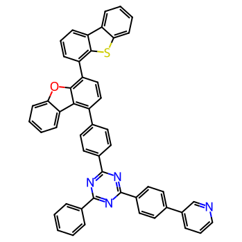 c1ccc(-c2nc(-c3ccc(-c4cccnc4)cc3)nc(-c3ccc(-c4ccc(-c5cccc6c5sc5ccccc56)c5oc6ccccc6c45)cc3)n2)cc1